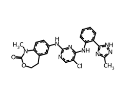 Cc1n[nH]c(-c2ccccc2Nc2nc(Nc3ccc4c(c3)CCOC(=O)N4C)ncc2Cl)n1